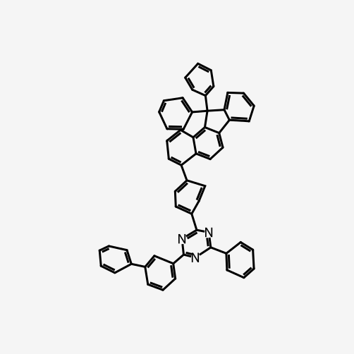 c1ccc(-c2cccc(-c3nc(-c4ccccc4)nc(-c4ccc(-c5cccc6c7c(ccc56)-c5ccccc5C7(c5ccccc5)c5ccccc5)cc4)n3)c2)cc1